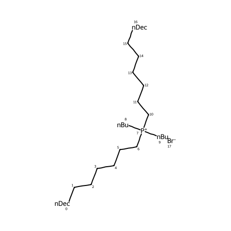 CCCCCCCCCCCCCCCC[P+](CCCC)(CCCC)CCCCCCCCCCCCCCCC.[Br-]